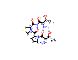 C[C@@H](O)[C@H](N)C(=O)NC(=O)[C@@H]1CSCN1C(=O)[C@@H]1CCCN1C(=O)[C@@H](N)[C@@H](C)O